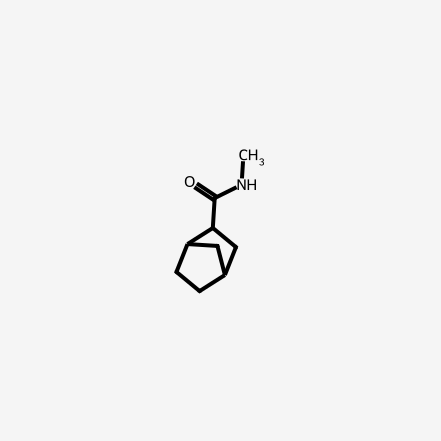 CNC(=O)C1CC2CCC1C2